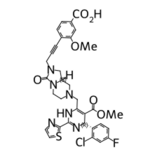 COC(=O)C1=C(CN2CCN3C(=O)N(CC#Cc4ccc(C(=O)O)cc4OC)C[C@@H]3C2)NC(c2nccs2)=N[C@H]1c1ccc(F)cc1Cl